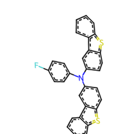 Fc1ccc(N(c2ccc3sc4ccccc4c3c2)c2ccc3sc4ccccc4c3c2)cc1